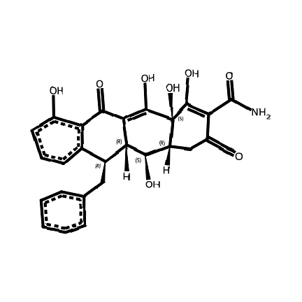 NC(=O)C1=C(O)[C@@]2(O)C(O)=C3C(=O)c4c(O)cccc4[C@H](Cc4ccccc4)[C@H]3[C@H](O)[C@H]2CC1=O